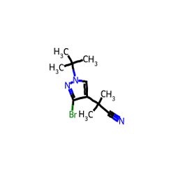 CC(C)(C#N)c1cn(C(C)(C)C)nc1Br